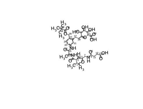 CC(C)[C@H](NC(=O)CNC(=O)CCC(=O)O)C(=O)N[C@@H](C)C(=O)Nc1ccc(COC(=O)C(C)(C)C)c(CC[C@@H]2O[C@H](C(=O)O)[C@@H](O)[C@H](O)[C@H]2O)c1